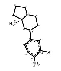 C[C@]12CCCN1CCN(c1ccc(N)c(S)c1)C2